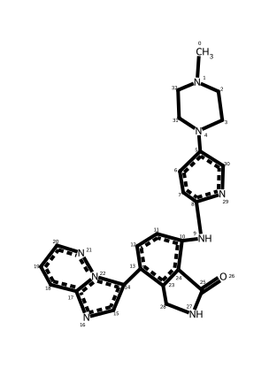 CN1CCN(c2ccc(Nc3ccc(-c4cnc5cccnn45)c4c3C(=O)NC4)nc2)CC1